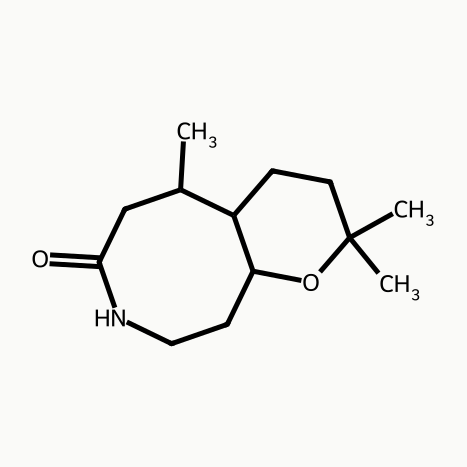 CC1CC(=O)NCCC2OC(C)(C)CCC12